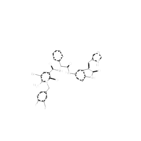 Cc1c(Br)cc(C(=O)N[C@@H](C(=O)Nc2ccc3c(c2)/C(=C/c2cnc[nH]2)C(=O)N3)c2ccccc2)c(=O)n1Cc1ccc(F)c(F)c1